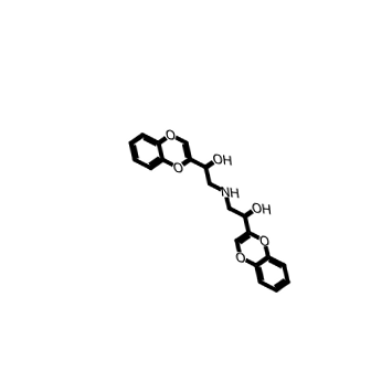 OC(CNCC(O)C1=COc2ccccc2O1)C1=COc2ccccc2O1